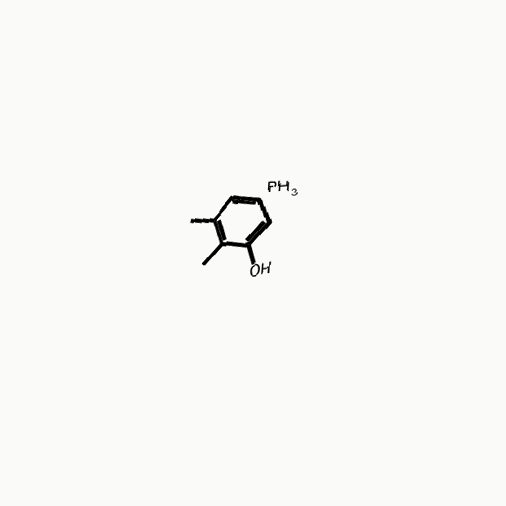 Cc1cccc(O)c1C.P